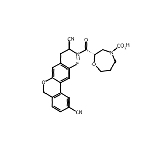 N#Cc1ccc2c(c1)-c1cc(F)c(CC(C#N)NC(=O)[C@@H]3CN(C(=O)O)CCCO3)cc1OC2